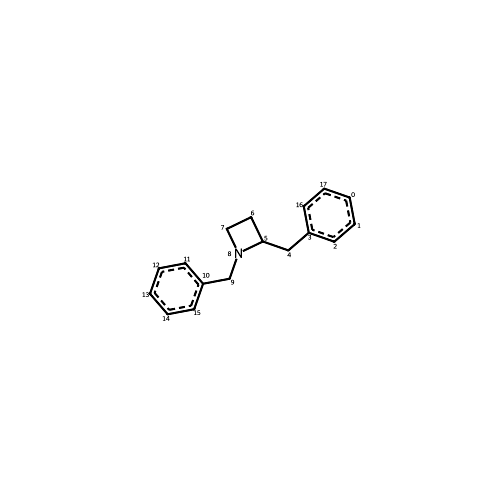 c1ccc(CC2CCN2Cc2ccccc2)cc1